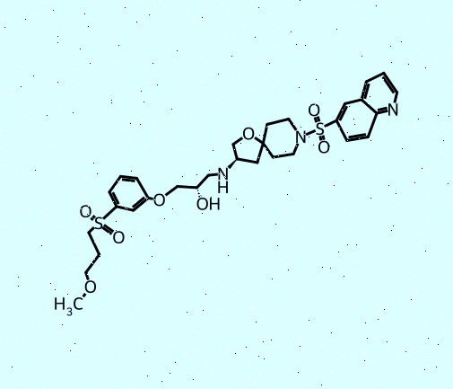 COCCCS(=O)(=O)c1cccc(OC[C@@H](O)CN[C@H]2COC3(CCN(S(=O)(=O)c4ccc5ncccc5c4)CC3)C2)c1